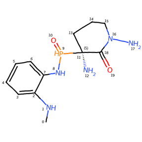 CNc1ccccc1N[PH](=O)[C@@]1(N)CCCN(N)C1=O